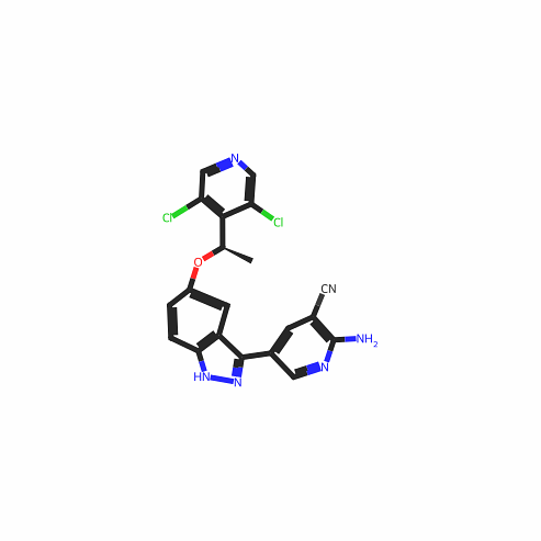 C[C@@H](Oc1ccc2[nH]nc(-c3cnc(N)c(C#N)c3)c2c1)c1c(Cl)cncc1Cl